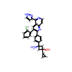 NC1(c2ccc(-c3nc4ccnc(-c5cc[nH]n5)c4cc3-c3ccccc3F)cc2)CC(O)(C2CC2)C1